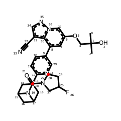 CC(C)(O)COc1cc(-c2ccc(N3CC4CC(C3)N4C(=O)N3CCC(F)C3)nc2)c2c(C#N)cnn2c1